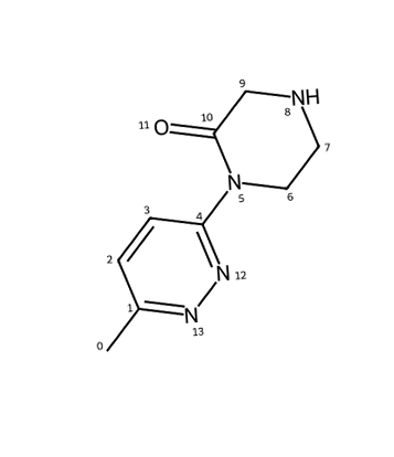 Cc1ccc(N2CCNCC2=O)nn1